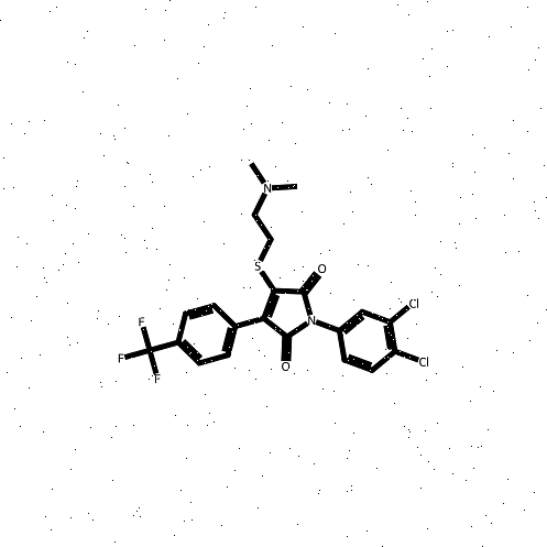 CN(C)CCSC1=C(c2ccc(C(F)(F)F)cc2)C(=O)N(c2ccc(Cl)c(Cl)c2)C1=O